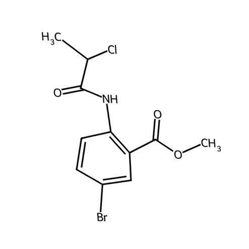 COC(=O)c1cc(Br)ccc1NC(=O)C(C)Cl